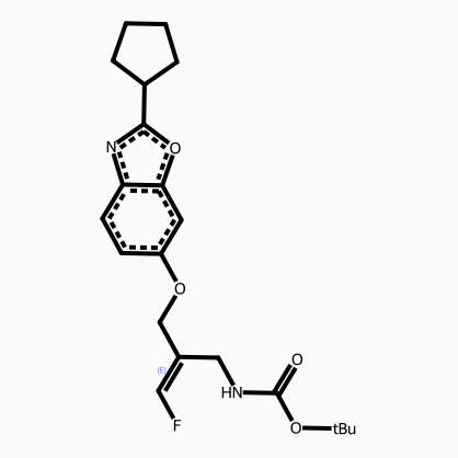 CC(C)(C)OC(=O)NC/C(=C\F)COc1ccc2nc(C3CCCC3)oc2c1